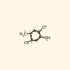 Cc1cc(Cl)c(O)cc1Cl